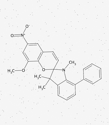 COc1cc([N+](=O)[O-])cc2c1OC1(C=C2)N(C)c2c(-c3ccccc3)cccc2C1(C)C